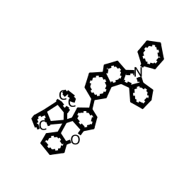 c1ccc(-n2c3ccccc3c3c4cc(-c5ccc6c(c5)C5(c7ccccc7O6)c6ccccc6-c6ccccc65)ccc4ccc32)cc1